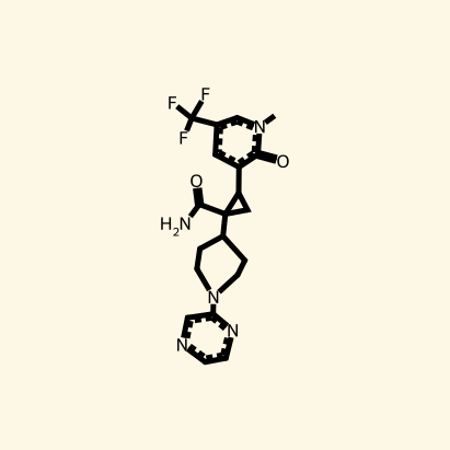 Cn1cc(C(F)(F)F)cc(C2CC2(C(N)=O)C2CCN(c3cnccn3)CC2)c1=O